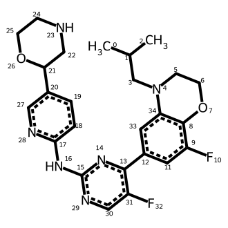 CC(C)CN1CCOc2c(F)cc(-c3nc(Nc4ccc(C5CNCCO5)cn4)ncc3F)cc21